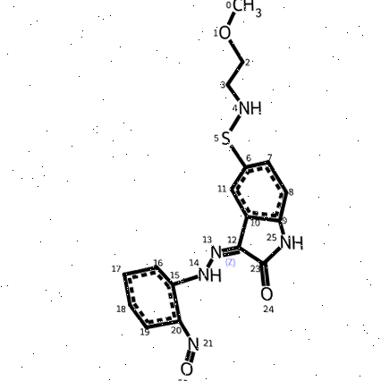 COCCNSc1ccc2c(c1)/C(=N/Nc1ccccc1N=O)C(=O)N2